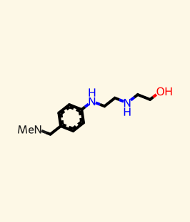 CNCc1ccc(NCCNCCO)cc1